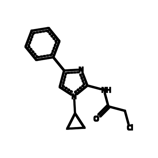 O=C(CCl)Nc1nc(-c2ccccc2)cn1C1CC1